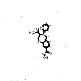 CC(C)C1COc2cc(C(=O)NO)ccc2CN1c1ccccn1